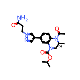 CC(=O)N1c2ccc(-c3cnn(CCC(N)=O)c3)cc2N(C(=O)OC(C)C)C[C@@H]1C